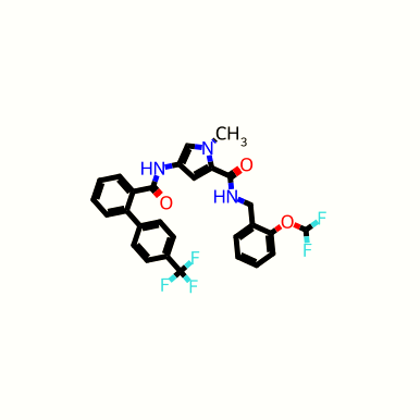 Cn1cc(NC(=O)c2ccccc2-c2ccc(C(F)(F)F)cc2)cc1C(=O)NCc1ccccc1OC(F)F